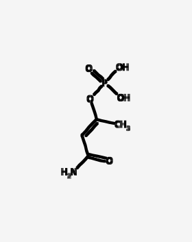 C/C(=C\C(N)=O)OP(=O)(O)O